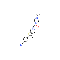 Cc1c(-c2ccc(C#N)cc2)sc2c1CCN(CC(=O)N1CCN(C(C)C)CC1)C2